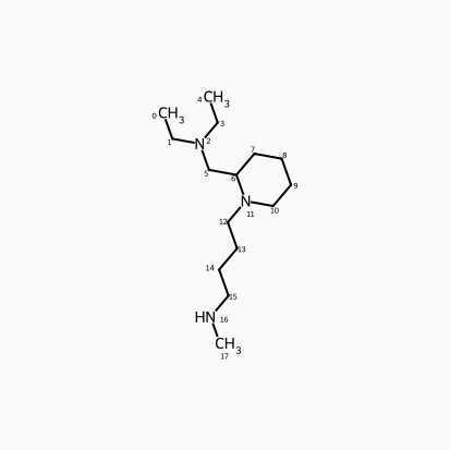 CCN(CC)CC1CCCCN1CCCCNC